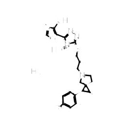 Cc1ncoc1-c1nnc(SCCCN2CC[C@]3(C[C@H]3c3ccc(F)cc3)C2)n1C.Cl